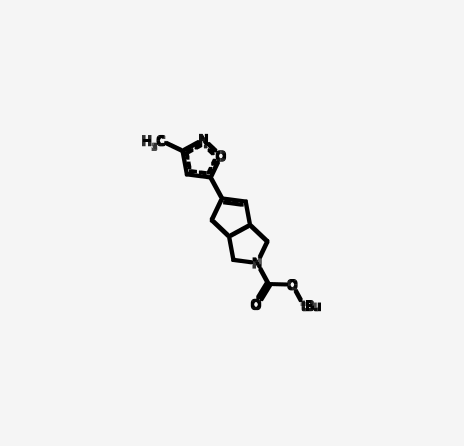 Cc1cc(C2=CC3CN(C(=O)OC(C)(C)C)CC3C2)on1